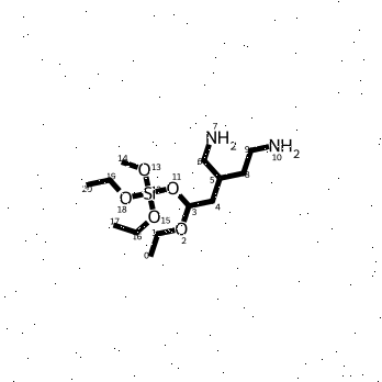 CCOC(CC(CN)CCN)O[Si](OC)(OCC)OCC